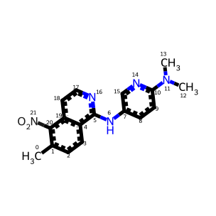 Cc1ccc2c(Nc3ccc(N(C)C)nc3)nccc2c1[N+](=O)[O-]